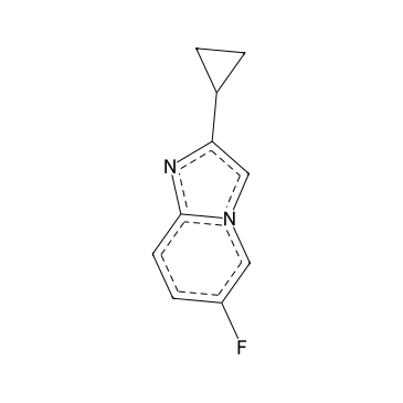 Fc1ccc2nc(C3CC3)cn2c1